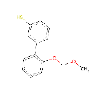 COCOc1ccccc1-c1cccc(S)c1